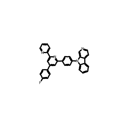 Fc1ccc(-c2cc(-c3ccc(-n4c5ccccc5c5ccncc54)cc3)nc(-c3ccccn3)c2)cc1